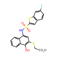 O=C(O)CSc1cc(NS(=O)(=O)c2cc3ccc(F)cc3s2)c2ccccc2c1O